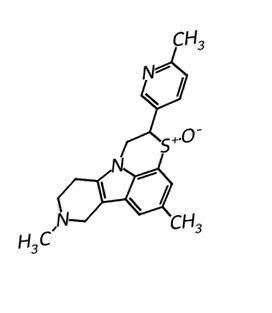 Cc1cc2c3c(c1)c1c(n3CC(c3ccc(C)nc3)[S+]2[O-])CCN(C)C1